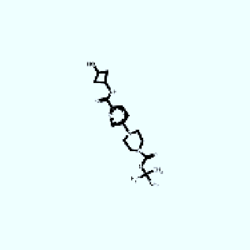 CC(C)(C)OC(=O)N1CCN(c2ccc(C(=O)NC3CC(O)C3)nc2)CC1